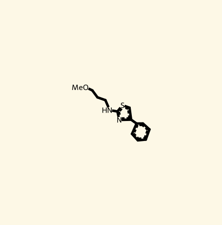 COCCCNc1nc(-c2ccccc2)cs1